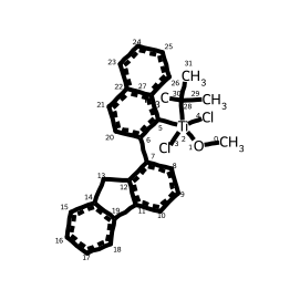 C[O][Ti]([Cl])([Cl])([c]1c(-c2cccc3c2Cc2ccccc2-3)ccc2ccccc12)[C](C)(C)C